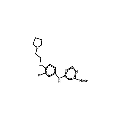 CNc1cc(Nc2ccc(OCCN3CCCC3)c(F)c2)ncn1